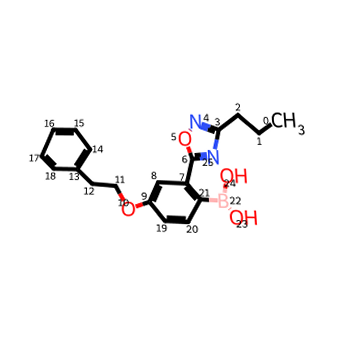 CCCc1noc(-c2cc(OCCc3ccccc3)ccc2B(O)O)n1